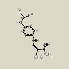 CC(=N)/C(C=O)=C\Nc1ccc(OC(F)F)cc1